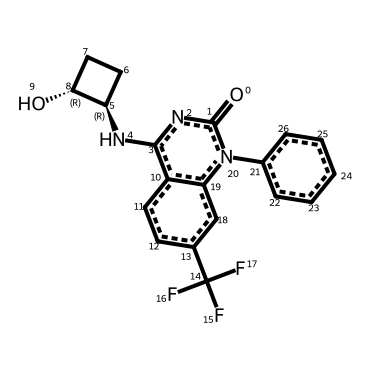 O=c1nc(N[C@@H]2CC[C@H]2O)c2ccc(C(F)(F)F)cc2n1-c1ccccc1